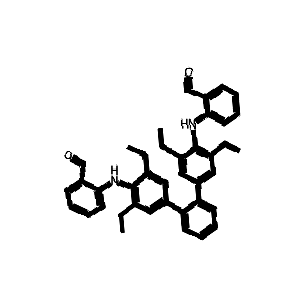 CCc1cc(-c2ccccc2-c2cc(CC)c(Nc3ccccc3C=O)c(CC)c2)cc(CC)c1Nc1ccccc1C=O